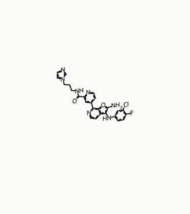 Nc1oc2c(-c3ccnc(C(=O)NCCCn4ccnc4)c3)nccc2c1Nc1ccc(F)c(Cl)c1